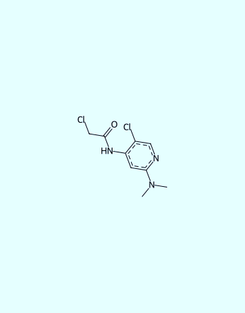 CN(C)c1cc(NC(=O)CCl)c(Cl)cn1